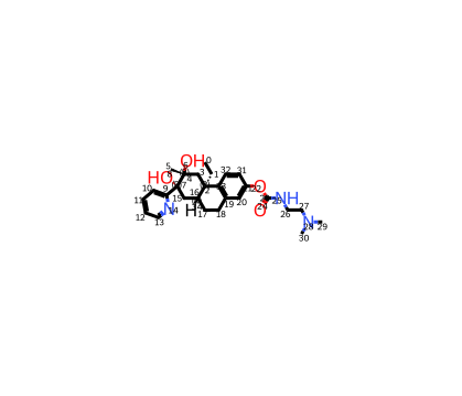 CC[C@@]12C[C@@](C)(O)[C@](O)(c3ccccn3)C[C@H]1CCc1cc(OC(=O)NCCN(C)C)ccc12